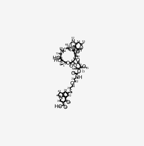 CC[C@H]1OC(=O)[C@H](C)[C@@H](O[C@H]2C[C@@](C)(OC)[C@@H](OC(=O)NCCOCCSc3cc4c5c(c3)c(=O)c(C(=O)O)cn5CC4)[C@H](C)O2)[C@H](C)[C@@H](OC2O[C@H](C)C[C@H](N(C)C)[C@H]2O)[C@](C)(O)C[C@@H](C)CN(C)[C@H](C)[C@@H](O)[C@]1(C)O